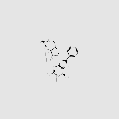 Nc1nc2c(nc(-c3ccccc3)n2[C@@H]2OC3CO[PH](=S)O[C@H]3C2O)c(=O)[nH]1